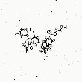 C[C@H]1CNC[C@@H](COP(=O)(N(C)C)N2C[C@@H](COP(=O)(N(C)C)N3CCN(C(=O)OCCO)CC3)O[C@@H](C)C2)O1